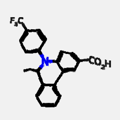 CC1c2ccccc2-c2cc(C(=O)O)ccc2N1c1ccc(C(F)(F)F)cc1